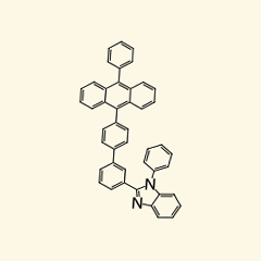 c1ccc(-c2c3ccccc3c(-c3ccc(-c4cccc(-c5nc6ccccc6n5-c5ccccc5)c4)cc3)c3ccccc23)cc1